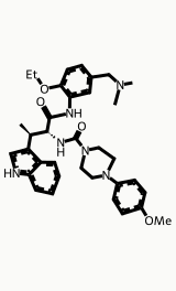 CCOc1ccc(CN(C)C)cc1NC(=O)[C@H](NC(=O)N1CCN(c2ccc(OC)cc2)CC1)[C@H](C)c1c[nH]c2ccccc12